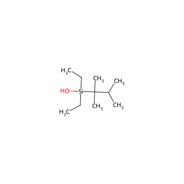 CC[Si](O)(CC)C(C)(C)C(C)C